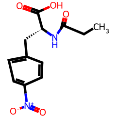 CCC(=O)N[C@H](Cc1ccc([N+](=O)[O-])cc1)C(=O)O